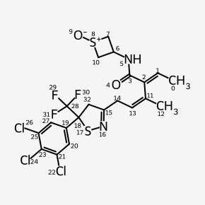 C/C=C(C(=O)NC1C[S+]([O-])C1)\C(C)=C/CC1=NSC(c2cc(Cl)c(Cl)c(Cl)c2)(C(F)(F)F)C1